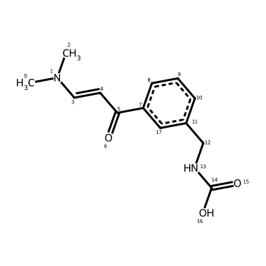 CN(C)C=CC(=O)c1cccc(CNC(=O)O)c1